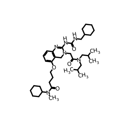 CC(C)CN(CC(C)C)C(=O)CN1Cc2c(cccc2OCCCC(=O)N(C)C2CCCCC2)N=C1NC(=O)NCC1CCCCC1